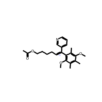 COc1c(C)c(C)c(OC)c(/C(=C/CCCCOC(C)=O)c2cccnc2)c1C